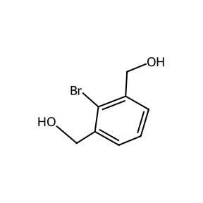 OCc1cccc(CO)c1Br